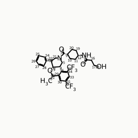 C[C@@H](O[C@H]1CCN(C(=O)[C@H]2CC[C@H](NC(=O)CCO)CC2)C[C@H]1c1ccccc1)c1cc(C(F)(F)F)cc(C(F)(F)F)c1